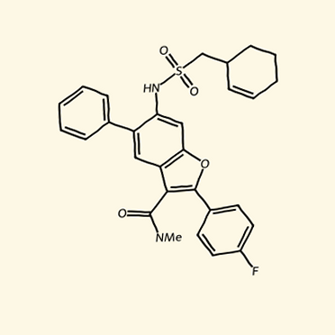 CNC(=O)c1c(-c2ccc(F)cc2)oc2cc(NS(=O)(=O)CC3C=CCCC3)c(-c3ccccc3)cc12